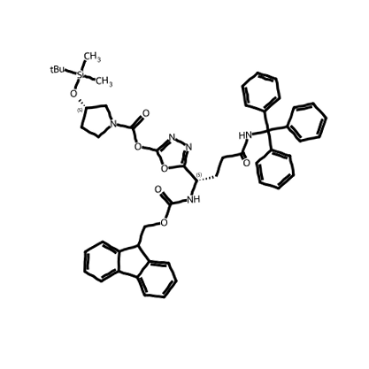 CC(C)(C)[Si](C)(C)O[C@H]1CCN(C(=O)Oc2nnc([C@H](CCC(=O)NC(c3ccccc3)(c3ccccc3)c3ccccc3)NC(=O)OCC3c4ccccc4-c4ccccc43)o2)C1